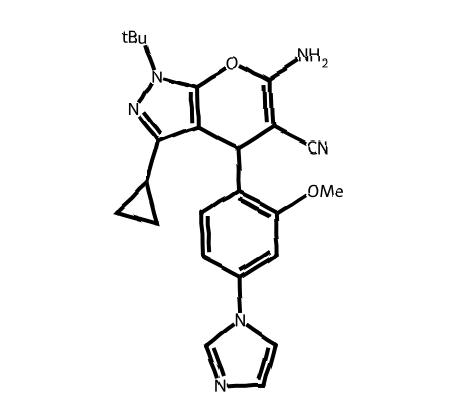 COc1cc(-n2ccnc2)ccc1C1C(C#N)=C(N)Oc2c1c(C1CC1)nn2C(C)(C)C